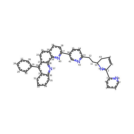 C1=CC(c2ccccn2)=NC(CCc2ccc(-c3ccc4ccc5c(-c6ccccc6)c6ccccc6nc5c4n3)cn2)C1